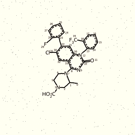 CC1CN(C(=O)O)CCN1c1nc(=O)n(-c2ccccc2C(F)(F)F)c2cc(-c3ccccc3F)c(Cl)cc12